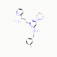 Cc1cccc(/C=N/Nc2cc(N3CCOCC3)nc(CCC(N)c3ccccn3)n2)c1